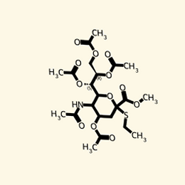 CCSC1(C(=O)OC)CC(OC(C)=O)C(NC(C)=O)C([C@H](OC(C)=O)[C@@H](COC(C)=O)OC(C)=O)O1